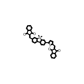 C[Si]1(C)c2cc(C=C3C(=O)c4ccccc4C3=O)ccc2-c2ccc(-c3ccc(C=C4C(=O)c5ccccc5C4=O)s3)cc21